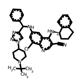 CC(C)(C)N1CCC(n2cc(C(Nc3cc(Cl)c4ncc(C#N)c(N[C@@H]5CCCc6ccccc65)c4c3)c3ccccc3)nn2)CC1